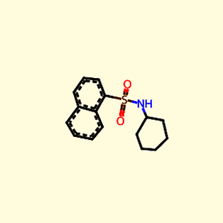 O=S(=O)(NC1CCCCC1)c1cccc2ccccc12